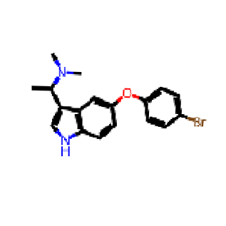 CC(c1c[nH]c2ccc(Oc3ccc(Br)cc3)cc12)N(C)C